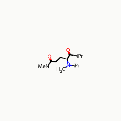 CNC(=O)CC[C@@H](C(=O)C(C)C)N(C)C(C)C